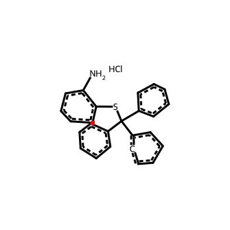 Cl.Nc1ccccc1SC(c1ccccc1)(c1ccccc1)c1ccccc1